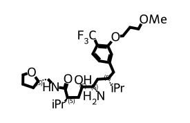 COCCCOc1cc(C[C@@H](C[C@H](N)[C@@H](O)C[C@H](C(=O)NC[C@@H]2CCCO2)C(C)C)C(C)C)ccc1C(F)(F)F